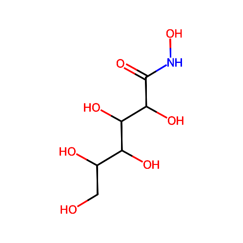 O=C(NO)C(O)C(O)C(O)C(O)CO